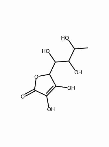 CC(O)C(O)C(O)C1OC(=O)C(O)=C1O